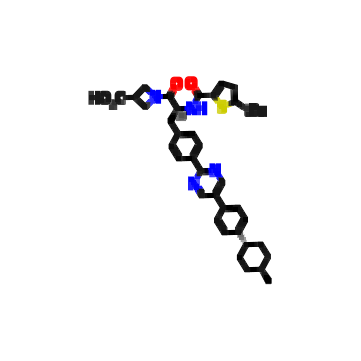 CC(C)(C)c1ccc(C(=O)N[C@@H](Cc2ccc(-c3ncc(-c4ccc([C@H]5CC[C@H](C)CC5)cc4)cn3)cc2)C(=O)N2CC(C(=O)O)C2)s1